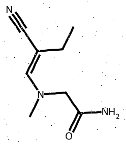 CC/C(C#N)=C\N(C)CC(N)=O